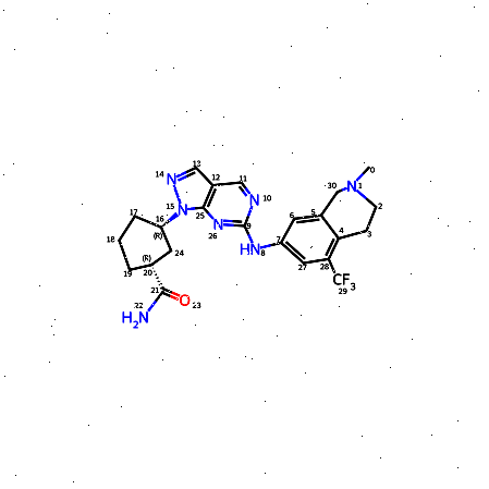 CN1CCc2c(cc(Nc3ncc4cnn([C@@H]5CCC[C@@H](C(N)=O)C5)c4n3)cc2C(F)(F)F)C1